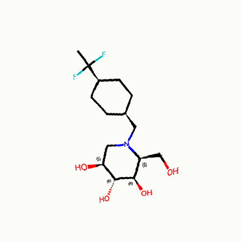 CC(F)(F)[C@H]1CC[C@@H](CN2C[C@H](O)[C@@H](O)[C@H](O)[C@@H]2CO)CC1